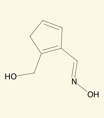 OCC1=C(/C=N/O)C=CC1